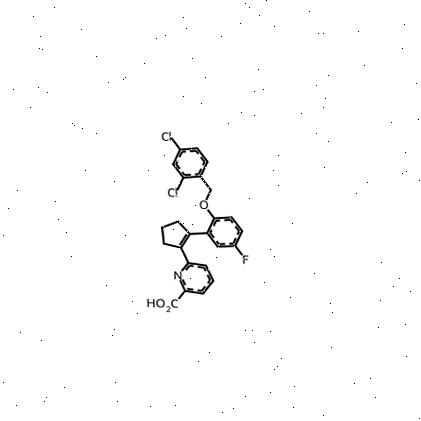 O=C(O)c1cccc(C2=C(c3cc(F)ccc3OCc3ccc(Cl)cc3Cl)CCC2)n1